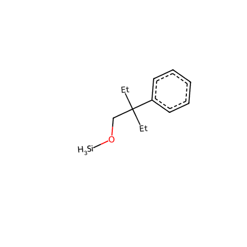 CCC(CC)(CO[SiH3])c1ccccc1